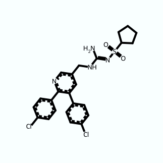 N/C(=N\S(=O)(=O)C1CCCC1)NCc1cnc(-c2ccc(Cl)cc2)c(-c2ccc(Cl)cc2)c1